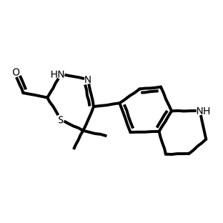 CC1(C)SC(C=O)NN=C1c1ccc2c(c1)CCCN2